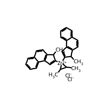 CC1[C]([Zr+2]2([C]3=Cc4c(ccc5ccccc45)C3C)[CH](C)[CH]2C)=Cc2c1ccc1ccccc21.[Cl-].[Cl-]